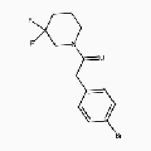 O=C(Cc1ccc(Br)cc1)N1CCCC(F)(F)C1